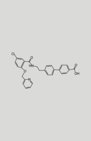 O=C(O)c1ccc(-c2ccc(CCNC(=O)c3cc(Cl)ccc3OCc3ccccn3)cc2)cc1